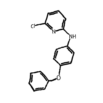 Clc1cccc(Nc2ccc(Oc3ccccc3)cc2)n1